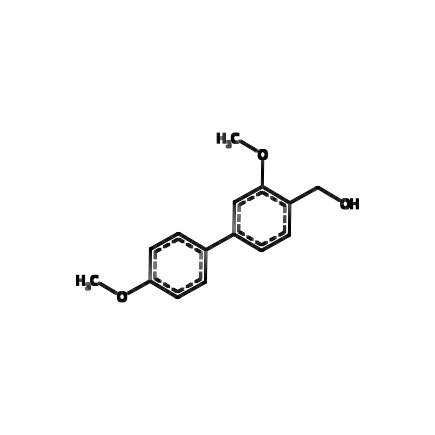 COc1ccc(-c2ccc(CO)c(OC)c2)cc1